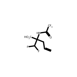 C=CCC(NC(=O)C(F)(F)F)(C(=O)O)C(F)F